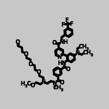 CCN(CC)c1ccc(NC(=O)c2cccc(C(=O)N(C)CCN(CCOC)CCOCCOCCOCCC=O)c2)c(-c2cc(C(=O)NCc3cccc(C(F)(F)F)c3)ccn2)c1